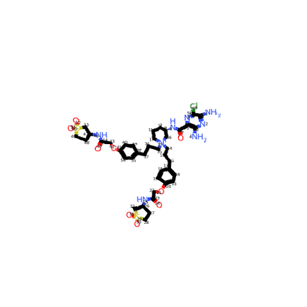 Nc1nc(N)c(C(=O)N[C@H]2CCC[N+](CCCc3ccc(OCC(=O)NC4CCS(=O)(=O)C4)cc3)(CCCc3ccc(OCC(=O)NC4CCS(=O)(=O)C4)cc3)C2)nc1Cl